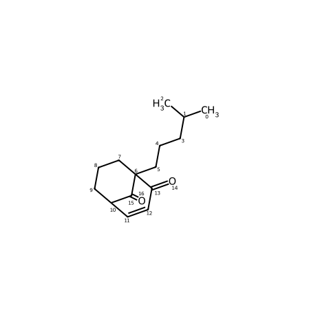 CC(C)CCCC12CCCC(C=CC1=O)C2=O